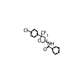 O=C(NN1COC(c2ccc(Cl)cc2)(C(F)(F)F)C1)c1ccccc1